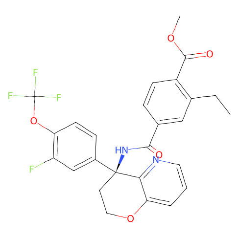 CCc1cc(C(=O)N[C@]2(c3ccc(OC(F)(F)F)c(F)c3)CCOc3cccnc32)ccc1C(=O)OC